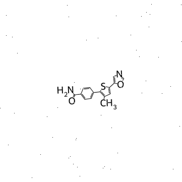 Cc1cc(-c2cnco2)sc1-c1ccc(C(N)=O)cc1